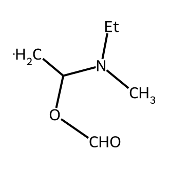 [CH2]C(OC=O)N(C)CC